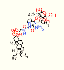 CC(=O)N[C@@H]1[C@@H](OC(C)CN(C(=O)[C@@H]2CCCN2)[C@H](CCC(=O)NCCOP(=O)(O)OC2CC[C@@]3(C)C(=CCC4C3CC[C@@]3(C)C4CC[C@@H]3[C@H](C)CCCC(C)C)C2)C(N)=O)[C@H](O)[C@@H](CO)O[C@@H]1O